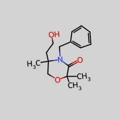 CC1(C)OCC(C)(CCO)N(Cc2ccccc2)C1=O